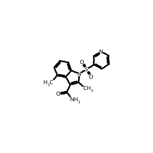 Cc1cccc2c1c(C(N)=O)c(C)n2S(=O)(=O)c1cccnc1